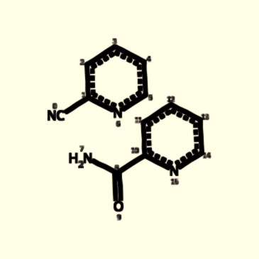 N#Cc1ccccn1.NC(=O)c1ccccn1